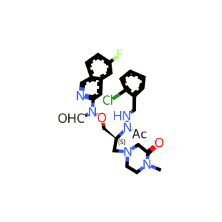 CC(=O)N(NCc1ccccc1Cl)[C@H](CON(C=O)c1cc2cc(F)ccc2cn1)CN1CCN(C)C(=O)C1